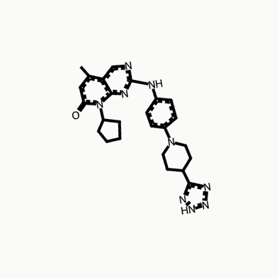 Cc1cc(=O)n(C2CCCC2)c2nc(Nc3ccc(N4CCC(c5nn[nH]n5)CC4)cc3)ncc12